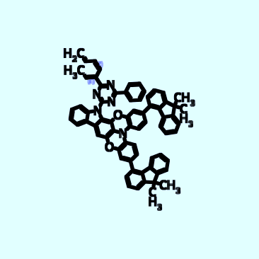 C=C/C=C\C(=C/C)c1nc(-c2ccccc2)nc(-n2c3ccccc3c3cc4c5c(c32)Oc2cc(-c3cccc6c3-c3ccccc3C6(C)C)ccc2N5c2ccc(-c3cccc5c3-c3ccccc3C5(C)C)cc2O4)n1